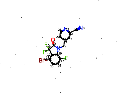 N#Cc1cc(CN2C(=O)C(F)(F)c3c(Br)ccc(F)c32)ccn1